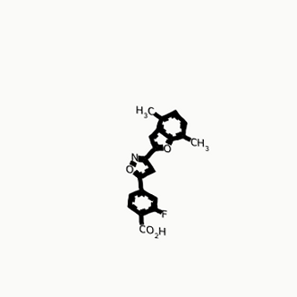 Cc1ccc(C)c2oc(-c3cc(-c4ccc(C(=O)O)c(F)c4)on3)cc12